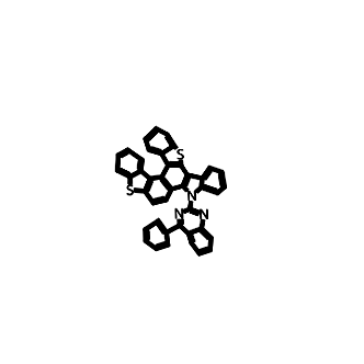 c1ccc(-c2nc(-n3c4ccccc4c4c5sc6ccccc6c5c5c(ccc6sc7ccccc7c65)c43)nc3ccccc23)cc1